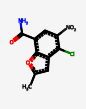 Cc1cc2c(Cl)c([N+](=O)[O-])cc(C(N)=O)c2o1